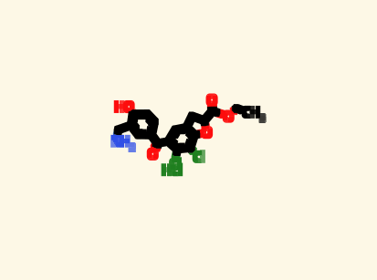 CCOC(=O)C1Cc2cc(C(=O)c3ccc(O)c(CN)c3)c(Cl)c(Cl)c2O1.Cl